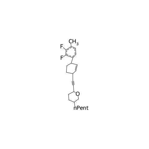 CCCCCC1CCC(C#CC2C=CC(c3ccc(C)c(F)c3F)CC2)OC1